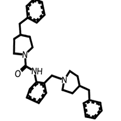 O=C(Nc1ccccc1CN1CCC(Cc2ccccc2)CC1)N1CCC(Cc2ccccc2)CC1